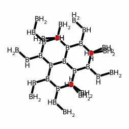 BBB(BB)B(BB)B(B(BB)B(BB)BB)B(B(BB)B(BB)BB)B(BB)B(BB)BB